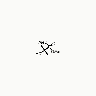 COP(=O)(OC)C(C)(C)O